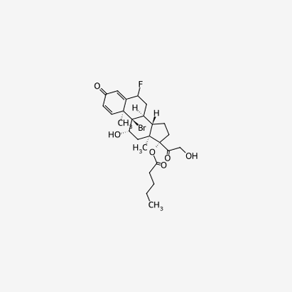 CCCCC(=O)O[C@@]1(C(=O)CO)CC[C@H]2[C@@H]3CC(F)C4=CC(=O)C=C[C@]4(C)[C@@]3(Br)[C@@H](O)C[C@@]21C